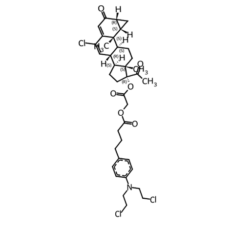 CC(=O)[C@@]1(OC(=O)COC(=O)CCCc2ccc(N(CCCl)CCCl)cc2)CC[C@H]2[C@@H]3C=C(Cl)C4=CC(=O)[C@@H]5C[C@@H]5[C@]4(C)[C@H]3CC[C@@]21C